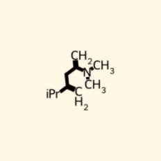 C=C(CC(=C)N(C)C)C(C)C